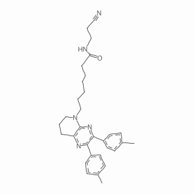 Cc1ccc(-c2nc3c(nc2-c2ccc(C)cc2)N(CCCCCCC(=O)NCCC#N)CCC3)cc1